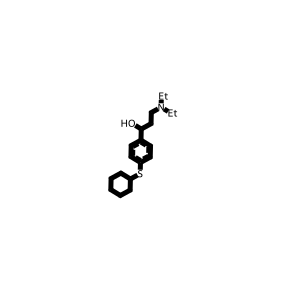 CCN(CC)CCC(O)c1ccc(SC2CCCCC2)cc1